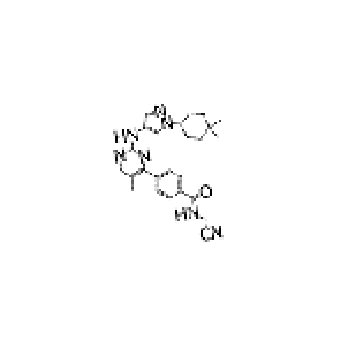 Cc1cnc(Nc2cnn(C3CCC(C)(C)CC3)c2)nc1-c1ccc(C(=O)NCC#N)cc1